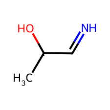 C[C](O)C=N